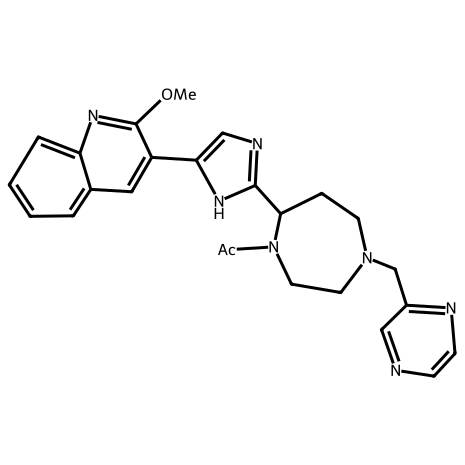 COc1nc2ccccc2cc1-c1cnc(C2CCN(Cc3cnccn3)CCN2C(C)=O)[nH]1